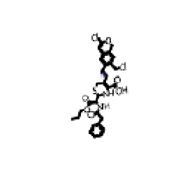 CCCOC(=O)C(NC(=O)Cc1ccccc1)C1NC(C(=O)O)=C(/C=C/c2cc3c(cc2CCl)COC(Cl)=C3)CS1